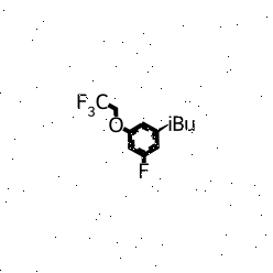 CC[C@H](C)c1cc(F)cc(OCC(F)(F)F)c1